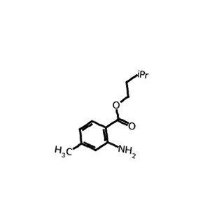 Cc1ccc(C(=O)OCCC(C)C)c(N)c1